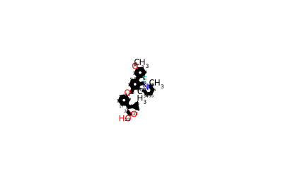 COc1ccc(F)c(-c2ccc(COc3cccc([C@@H](CC(=O)O)C4CC4)c3)cc2CN2[C@H](C)CCC[C@H]2C)c1